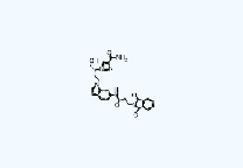 NC(=O)c1cn([C@@H](CO)CCn2ccc3ccc(NC(=O)CCN4C(=O)c5ccccc5C4=O)cc32)cn1